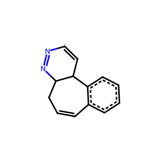 [C]1=CC2c3ccccc3C=CCC2N=N1